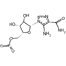 NC(=O)c1ncn([C@@H]2O[C@H](COP(=O)=O)[C@H](O)C2O)c1N